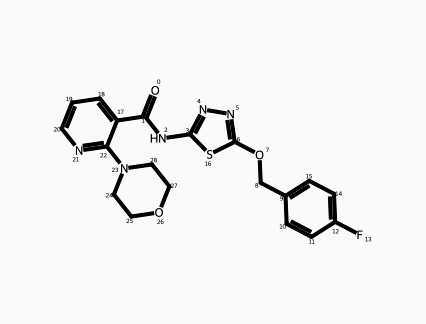 O=C(Nc1nnc(OCc2ccc(F)cc2)s1)c1cccnc1N1CCOCC1